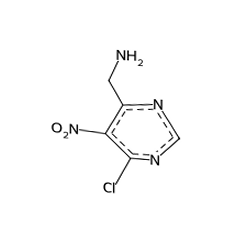 NCc1ncnc(Cl)c1[N+](=O)[O-]